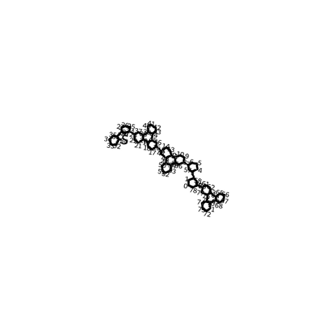 c1cc(-c2cccc(-c3ccc4c5ccc(-c6ccc7c8ccc(-c9cccc%10c9sc9ccccc9%10)cc8c8ccccc8c7c6)cc5c5ccccc5c4c3)c2)cc(-c2ccc3c4ccccc4c4ccccc4c3c2)c1